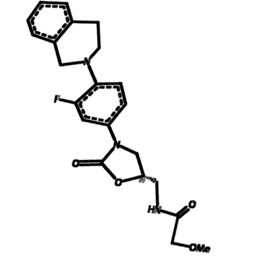 COCC(=O)NC[C@H]1CN(c2ccc(N3CCc4ccccc4C3)c(F)c2)C(=O)O1